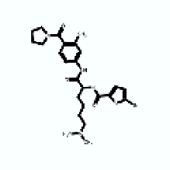 Cc1cc(NC(=O)C(CCCCN(C)C)NC(=O)c2ccc(Br)s2)ccc1C(=O)N1CCCC1